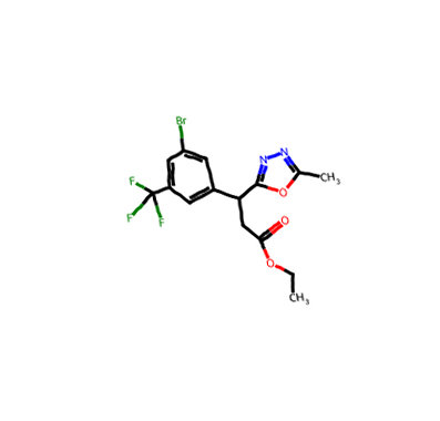 CCOC(=O)CC(c1cc(Br)cc(C(F)(F)F)c1)c1nnc(C)o1